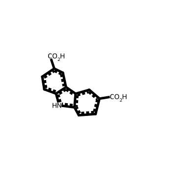 O=C(O)c1ccc2[nH]c3ccc(C(=O)O)cc3c2c1